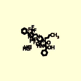 CCCCN1C(=O)[C@@H]([C@H](O)C2CCCCC2)NC(=O)C12CCN(Cc1c(C(F)(F)F)nn(-c3ccccc3)c1C(F)(F)F)CC2.Cl.Cl